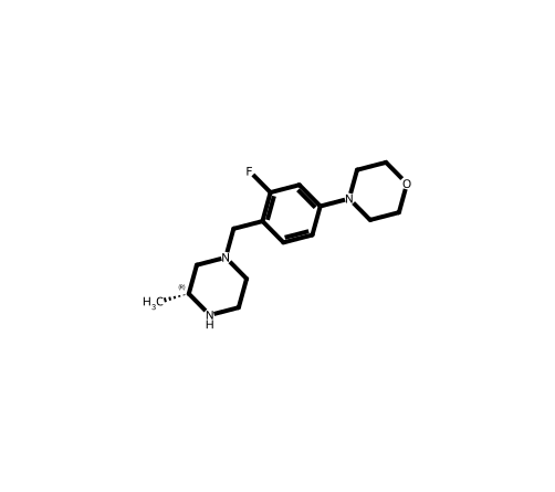 C[C@@H]1CN(Cc2ccc(N3CCOCC3)cc2F)CCN1